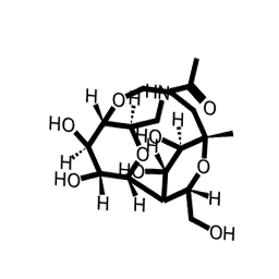 CC(=O)NC[C@H]1O[C@@H]2C3[C@@H](CO)O[C@@](C)(CCCO[C@H]1[C@H](O)[C@H]2O)[C@H](O)[C@H]3O